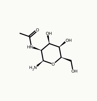 CC(=O)N[C@H]1[C@@H](O)[C@@H](O)[C@@H](CO)O[C@H]1N